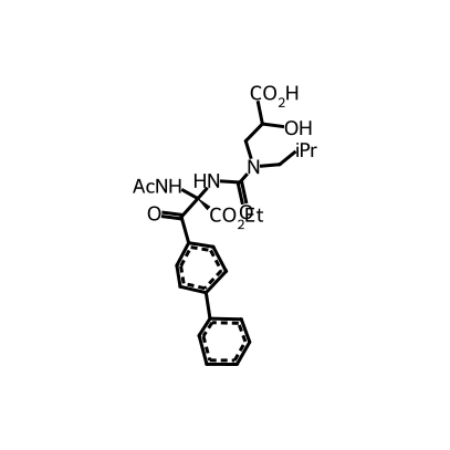 CCOC(=O)[C@@](NC(C)=O)(NC(=O)N(CC(C)C)CC(O)C(=O)O)C(=O)c1ccc(-c2ccccc2)cc1